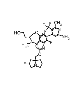 Cc1nc(N)cc(-c2nc3c4c(nc(OC[C@@]56CCCN5C[C@H](F)C6)nc4c2F)N(C)[C@@H](CCO)CO3)c1C(F)(F)F